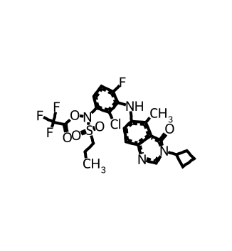 CCCS(=O)(=O)N(OC(=O)C(F)(F)F)c1ccc(F)c(Nc2ccc3ncn(C4CCC4)c(=O)c3c2C)c1Cl